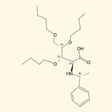 CCCCOC[C@H](OCCCC)[C@@H](OCCCC)[C@H](N[C@H](C)c1ccccc1)C(=O)O